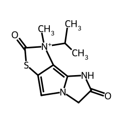 CC(C)[N+]1(C)C(=O)Sc2cn3c(c21)NC(=O)C3